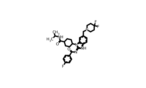 CC(C)NC(=O)C1CCC(n2/c(=N\C(=O)c3ccc(F)cc3)[nH]c3ccc(CN4CCC(F)(F)CC4)cc32)CC1